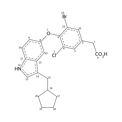 O=C(O)Cc1cc(Cl)c(Oc2ccc3[nH]cc(CC4CCCC4)c3c2)c(Br)c1